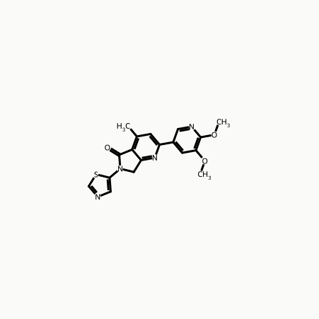 COc1cc(-c2cc(C)c3c(n2)CN(c2cncs2)C3=O)cnc1OC